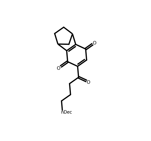 CCCCCCCCCCCCCC(=O)C1=CC(=O)C2=C(C1=O)C1CCC2C1